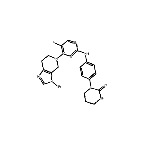 CC(C)n1cnc2c1CN(c1nc(Nc3ccc(N4CCCNC4=O)cc3)ncc1F)CC2